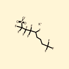 O=S(=O)([O-])C(F)(F)C(F)(F)C(F)(F)C(F)CCCC(F)(F)F.[K+]